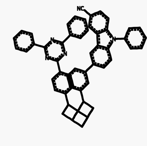 N#Cc1ccc2c(c1)c1cc(-c3cccc(C4CC5CC6CC(c7ccc(-c8nc(-c9ccccc9)nc(-c9ccccc9)n8)cc7)C654)c3)ccc1n2-c1ccccc1